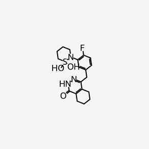 O=c1[nH]nc(Cc2ccc(F)c(N3CCCCS3(O)O)c2)c2c1CCCC2